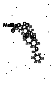 COC(=O)CC[C@]1(C(=O)OC)C[C@H]2[C@@H]3CCc4cc(OCc5ccccc5)ccc4[C@H]3CC[C@]2(C)C1=O